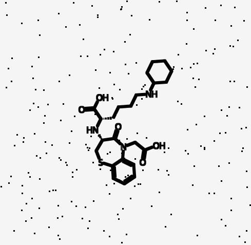 O=C(O)CN1C(=O)[C@@H](N[C@@H](CCCCNC2CCCCC2)C(=O)O)CSc2ccccc21